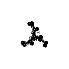 O=C(Nc1ccc(/N=N/c2cccc3ccccc23)c2ccccc12)c1cc(C(=O)Nc2ccc(/N=N/c3cccc4ccccc34)c3ccccc23)cc(C(=O)Nc2ccc(/N=N/c3cccc4ccccc34)c3ccccc23)c1